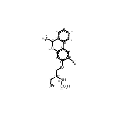 CC(C)C[C@@H](COc1cc2c(cc1Br)-c1cnccc1C(C)O2)NC(=O)O